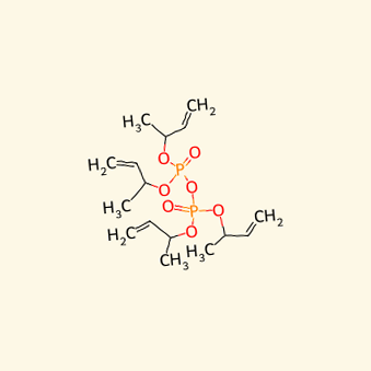 C=CC(C)OP(=O)(OC(C)C=C)OP(=O)(OC(C)C=C)OC(C)C=C